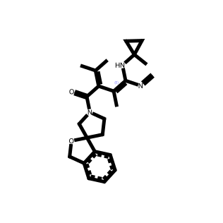 C=N/C(NC1(C)CC1)=C(\C)C(C(=O)N1CCC2(C1)OCc1ccccc12)=C(C)C